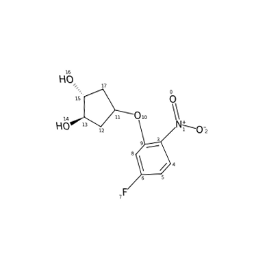 O=[N+]([O-])c1ccc(F)cc1OC1C[C@@H](O)[C@H](O)C1